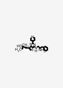 CCC(C)(O)C#Cc1csc2c(NC[C@@H](N)Cc3ccccc3)nc(-c3ccncc3)nc12